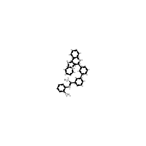 C/C(=N\c1ccccc1C)c1cccc(-c2cccc(-c3nc4ccccc4c4nc5ccccn5c34)c2)c1